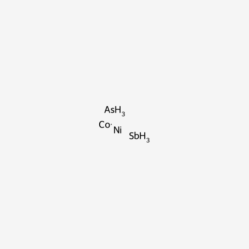 [AsH3].[Co].[Ni].[SbH3]